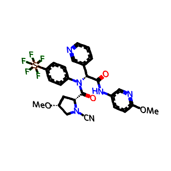 COc1ccc(NC(=O)[C@@H](c2cccnc2)N(C(=O)[C@H]2C[C@@H](OC)CN2C#N)c2ccc(S(F)(F)(F)(F)F)cc2)cn1